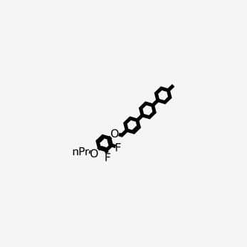 CCCOc1ccc(OCC2C=CC(C3CCC(C4CCC(C)CC4)CC3)CC2)c(F)c1F